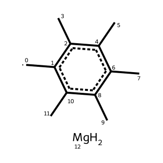 [CH2]c1c(C)c(C)c(C)c(C)c1C.[MgH2]